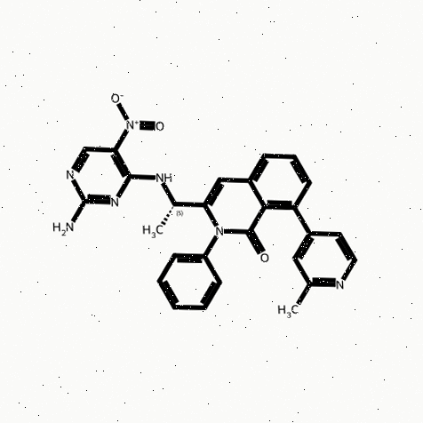 Cc1cc(-c2cccc3cc([C@H](C)Nc4nc(N)ncc4[N+](=O)[O-])n(-c4ccccc4)c(=O)c23)ccn1